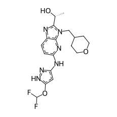 C[C@@H](O)c1nc2ccc(Nc3cc(OC(F)F)[nH]n3)nc2n1CC1CCOCC1